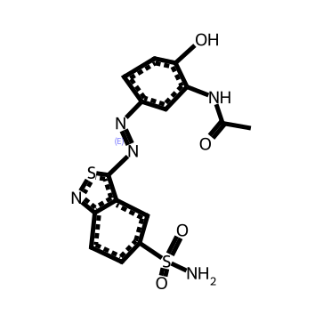 CC(=O)Nc1cc(/N=N/c2snc3ccc(S(N)(=O)=O)cc23)ccc1O